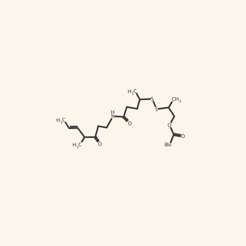 CC=CC(C)C(=O)CCNC(=O)CCC(C)SSC(C)COC(=O)C(C)CC